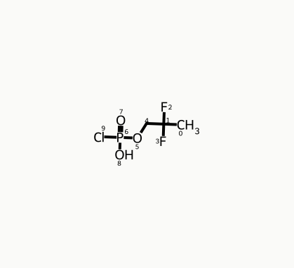 CC(F)(F)COP(=O)(O)Cl